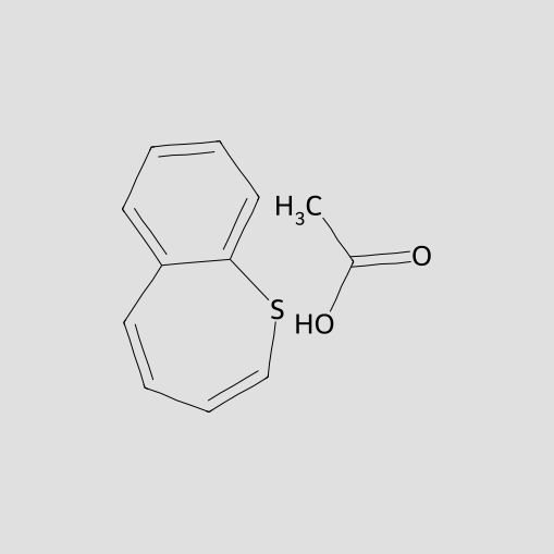 C1=CSc2ccccc2C=C1.CC(=O)O